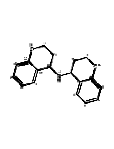 c1ccc2c(c1)OCCC2NC1CCOc2ccccc21